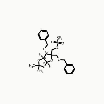 CC1(C)O[C@H]2OC(COCc3ccccc3)(COS(=O)(=O)C(F)(F)F)[C@@H](OCc3ccccc3)[C@H]2O1